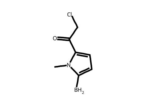 Bc1ccc(C(=O)CCl)n1C